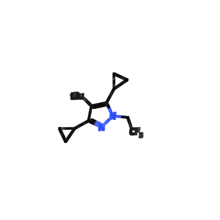 CC(C)(C)c1c(C2CC2)nn(CC(F)(F)F)c1C1CC1